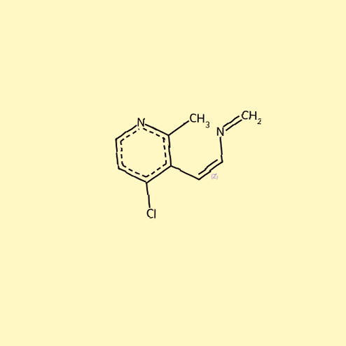 C=N/C=C\c1c(Cl)ccnc1C